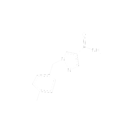 Cc1ccc(Cn2cc(C(N)=O)cn2)cc1